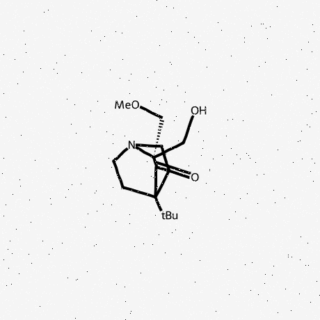 COC[C@]1(CO)C(=O)C2(C(C)(C)C)CCN1CC2